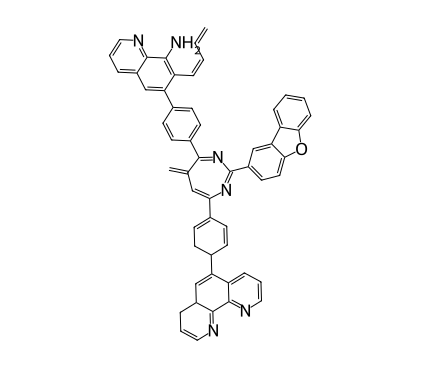 C=C/C=C\c1c(-c2ccc(C3=NC(c4ccc5oc6ccccc6c5c4)=NC(C4=CCC(C5=CC6CC=CN=C6c6ncccc65)C=C4)=CC3=C)cc2)cc2cccnc2c1N